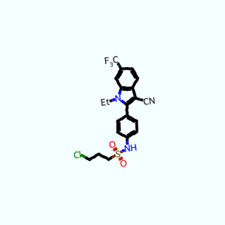 CCn1c(-c2ccc(NS(=O)(=O)CCCCl)cc2)c(C#N)c2ccc(C(F)(F)F)cc21